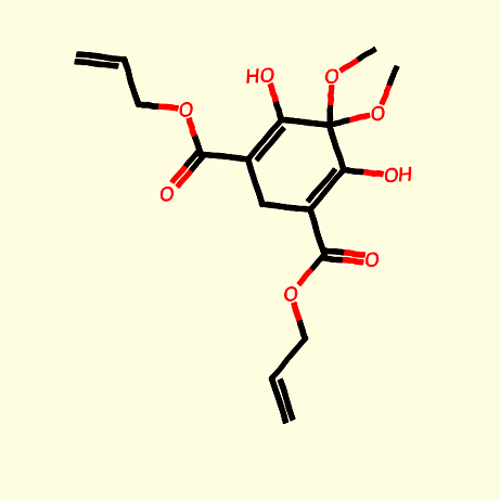 C=CCOC(=O)C1=C(O)C(OC)(OC)C(O)=C(C(=O)OCC=C)C1